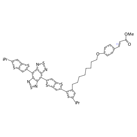 COC(=O)/C=C/c1ccc(OCCCCCCCCc2cc(C(C)C)sc2-c2cc3sc(-c4c5c(c(-c6cc7sc(C(C)C)cc7s6)c6nsnc46)N=S=N5)cc3s2)cc1